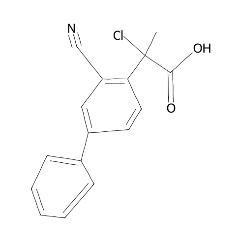 CC(Cl)(C(=O)O)c1ccc(-c2ccccc2)cc1C#N